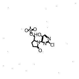 CS(=O)(=O)OCC1CCC(=O)N1c1nc(Cl)ncc1O